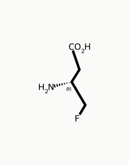 N[C@@H](CF)CC(=O)O